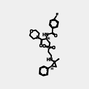 C[C@@]1(NCCS(=O)(=O)C[C@H](NC(=O)c2ccc(F)cc2)C(=O)N2CCOCC2)C[C@H]1c1ccccc1